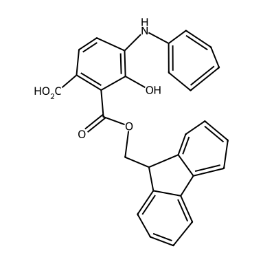 O=C(O)c1ccc(Nc2ccccc2)c(O)c1C(=O)OCC1c2ccccc2-c2ccccc21